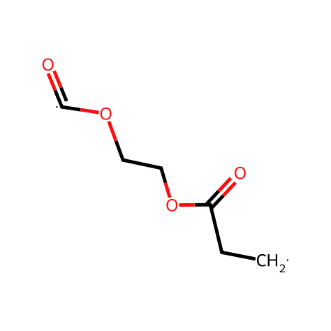 [CH2]CC(=O)OCCO[C]=O